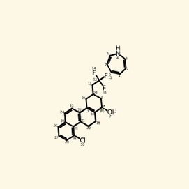 C1=CC=CNC=C1.O[C@@H]1CC(CC(F)(F)F)CC2=C1CCc1c2ccc2cccc(Cl)c12